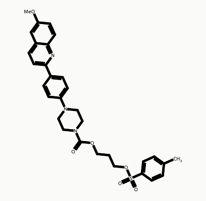 COc1ccc2nc(-c3ccc(N4CCN(C(=O)OCCCOS(=O)(=O)c5ccc(C)cc5)CC4)cc3)ccc2c1